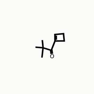 CC(C)(C)C(=O)C1=CCC1